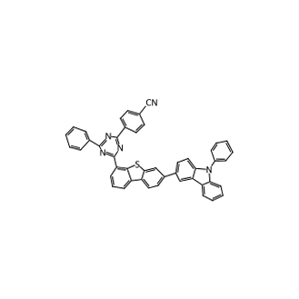 N#Cc1ccc(-c2nc(-c3ccccc3)nc(-c3cccc4c3sc3cc(-c5ccc6c(c5)c5ccccc5n6-c5ccccc5)ccc34)n2)cc1